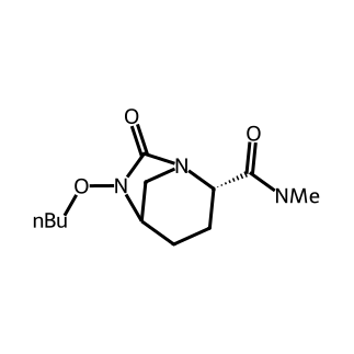 CCCCON1C(=O)N2CC1CC[C@H]2C(=O)NC